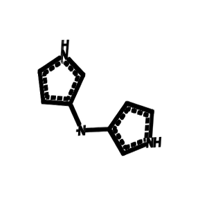 c1cc([N]c2cc[nH]c2)c[nH]1